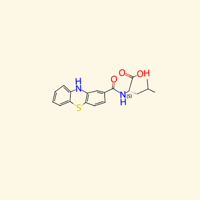 CC(C)C[C@H](NC(=O)c1ccc2c(c1)Nc1ccccc1S2)C(=O)O